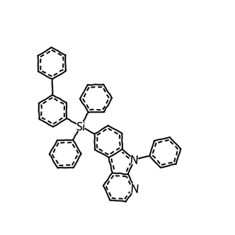 c1ccc(-c2cccc([Si](c3ccccc3)(c3ccccc3)c3ccc4c(c3)c3cccnc3n4-c3ccccc3)c2)cc1